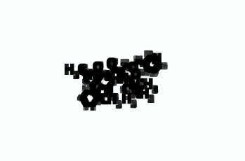 C[C@@H]1CC=CC[C@@]1(C)[C@@H]1CN(C)C(=O)[C@]12CCCN(C(=O)[C@@H](COCc1cccnc1)NC(=O)C(C)(C)N)C2